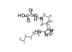 CCCCCCNc1nsnc1C1=CCCN(C)C1.O=C(O)C(=O)O